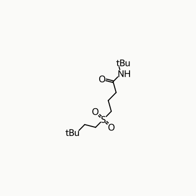 CC(C)(C)CCS(=O)(=O)CCCC(=O)NC(C)(C)C